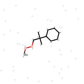 CC(C)(C)OOCC(C)(C)C1CCCCC1